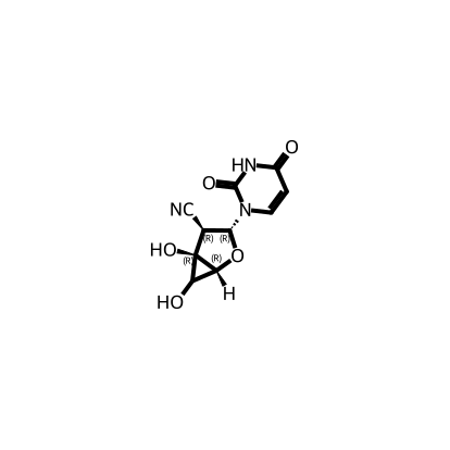 N#C[C@H]1[C@H](n2ccc(=O)[nH]c2=O)O[C@@H]2C(O)[C@@]21O